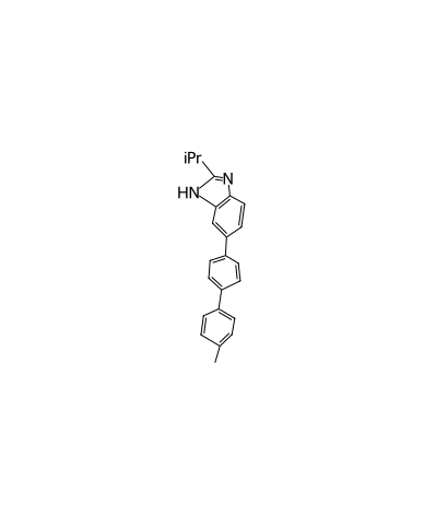 Cc1ccc(-c2ccc(-c3ccc4nc(C(C)C)[nH]c4c3)cc2)cc1